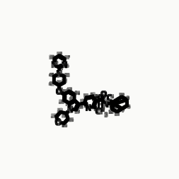 O=C(NC1(C(=O)O)C2CC3CC(C2)CC1C3)c1ccc(-c2cn(C3CCOCC3)c3cc(OC4CCN(c5ncccn5)CC4)ccc23)nc1C(F)(F)F